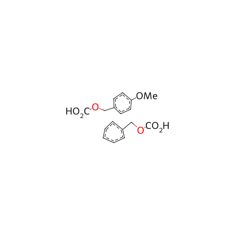 COc1ccc(COC(=O)O)cc1.O=C(O)OCc1ccccc1